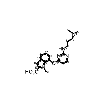 CN(C)CCCNc1nccc(Oc2cccc3cc(C(=O)O)n(C)c23)n1